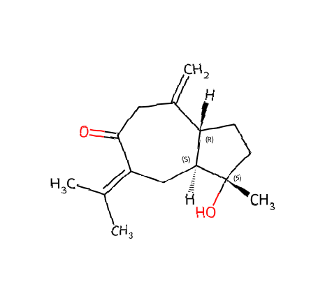 C=C1CC(=O)C(=C(C)C)C[C@H]2[C@H]1CC[C@]2(C)O